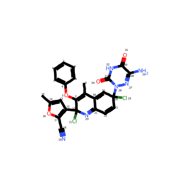 CC1=C(Oc2ccccc2)C(Cl)(c2cc(C)oc2C#N)N=C2C=CC(Cl)(n3nc(N)c(=O)[nH]c3=O)C=C21